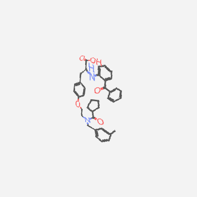 Cc1cccc(CN(CCOc2ccc(C[C@H](Nc3ccccc3C(=O)c3ccccc3)C(=O)O)cc2)C(=O)C2CCCC2)c1